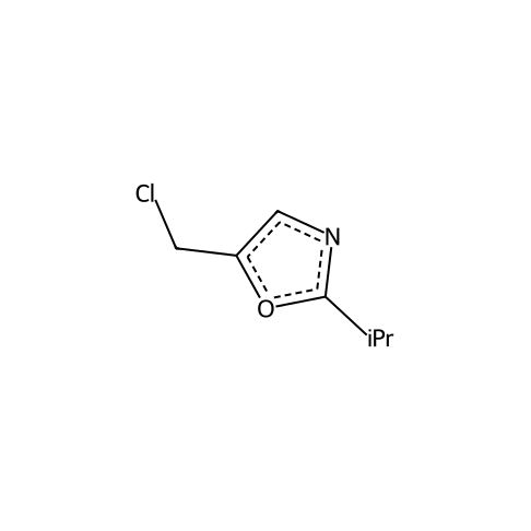 CC(C)c1ncc(CCl)o1